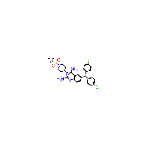 NC1=Nc2ccc(C(c3ccc(Cl)cc3)c3ccc(Cl)cc3)cc2C(N)N1C1CCN(S(=O)(=O)C(F)(F)F)CC1